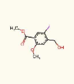 COC(=O)c1cc(I)c(CO)cc1OC